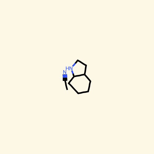 C1CCC2NCCC2C1.CC#N